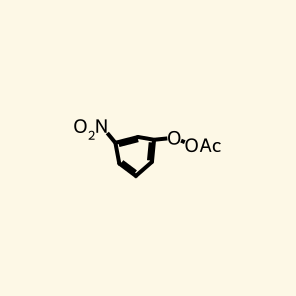 CC(=O)OOc1cccc([N+](=O)[O-])c1